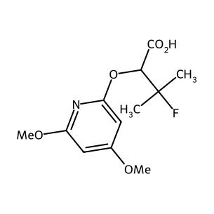 COc1cc(OC)nc(OC(C(=O)O)C(C)(C)F)c1